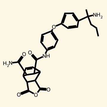 CCCC(C)(N)c1ccc(Oc2ccc(NC(=O)C3C4C=CC(C3C(N)=O)C3C(=O)OC(=O)C43)cc2)cc1